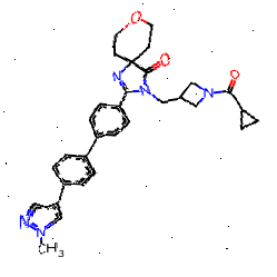 Cn1cc(-c2ccc(-c3ccc(C4=NC5(CCOCC5)C(=O)N4CC4CN(C(=O)C5CC5)C4)cc3)cc2)cn1